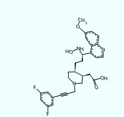 COc1ccc2nccc([C@@H](CC[C@@H]3CCN(CC#Cc4cc(F)cc(F)c4)C[C@@H]3CC(=O)O)NO)c2c1